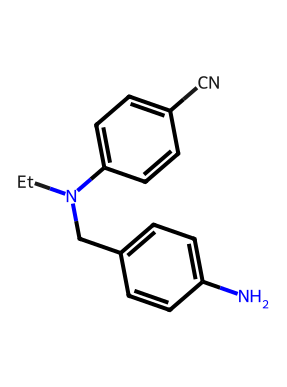 CCN(Cc1ccc(N)cc1)c1ccc(C#N)cc1